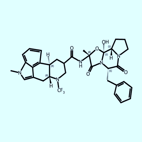 Cn1cc2c3c(cccc31)[C@H]1CC(C(=O)N[C@]3(C)O[C@@]4(O)[C@@H]5CCCN5C(=O)[C@H](Cc5ccccc5)N4C3=O)CN(C(F)(F)F)[C@@H]1C2